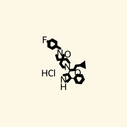 Cl.O=C(CC1CC1)C([C@@H]1CNC[C@@H]1c1ccccc1)N1CCC2(CCN(Cc3ccc(F)cc3)C2=O)CC1